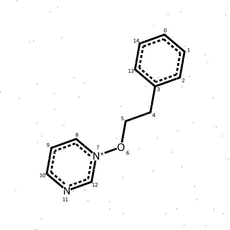 c1ccc(CCO[n+]2cccnc2)cc1